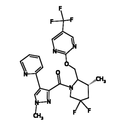 C[C@@H]1CC(F)(F)CN(C(=O)c2nn(C)cc2-c2ccccn2)C1COc1ncc(C(F)(F)F)cn1